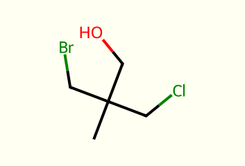 CC(CO)(CCl)CBr